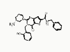 N#Cc1ccccc1Cn1c(N2CCC[C@@H](N)C2)nc2cc(C(=O)NCc3ccccc3)sc2c1=O